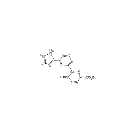 CCOC(=O)c1ccc(=O)n(-c2cccc(-c3cnn[nH]3)c2)c1